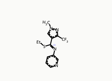 CCS/C(=N\c1cccnc1)c1cn(C)nc1C(F)(F)F